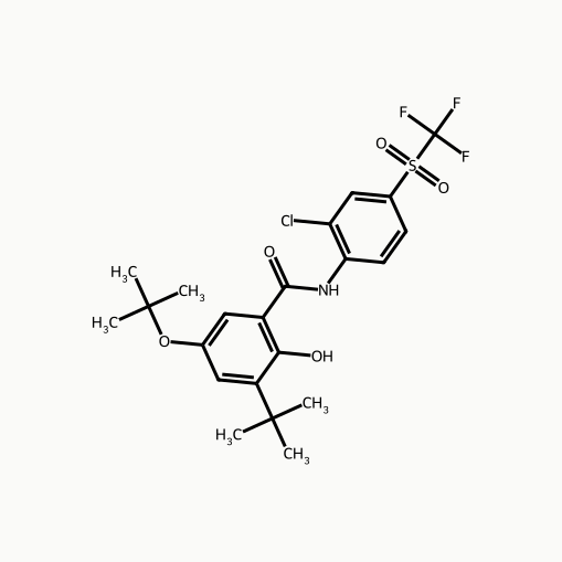 CC(C)(C)Oc1cc(C(=O)Nc2ccc(S(=O)(=O)C(F)(F)F)cc2Cl)c(O)c(C(C)(C)C)c1